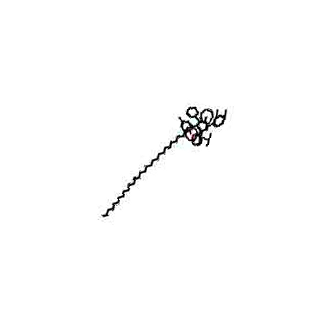 CCCCCCCCCCCCCCCCCCCCCCCCCCCCc1cc(C)cc(-c2c(C3CCCCC3)cc(C3CCCCC3)c(O)c2C2CCCCC2)c1O